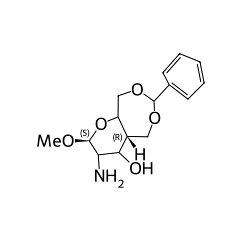 CO[C@H]1OC2COC(c3ccccc3)OC[C@@H]2C(O)C1N